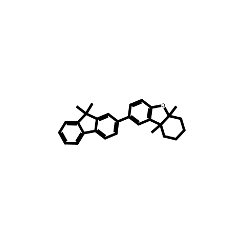 CC1(C)c2ccccc2-c2ccc(-c3ccc4c(c3)C3(C)CCCCC3(C)O4)cc21